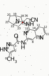 Cc1cc(C(=O)Nc2cc3ncccc3c(NC3CC4CCC(C3)N4CCC#N)n2)n[nH]1